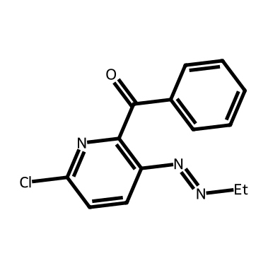 CC/N=N/c1ccc(Cl)nc1C(=O)c1ccccc1